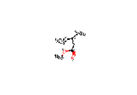 CCCCC(CC(=O)OC(C)(C)C)C(=O)O